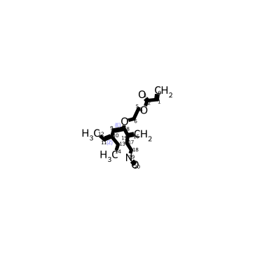 C=CC(=O)OCCO/C(=C/C(=C\C)CC)C(=C)CCN=O